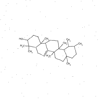 CC1CCC2(C)CCC3(C)C4=CCC5C(C)(C)C(O)CCC5(C)C4CCC3(C)C2C1C